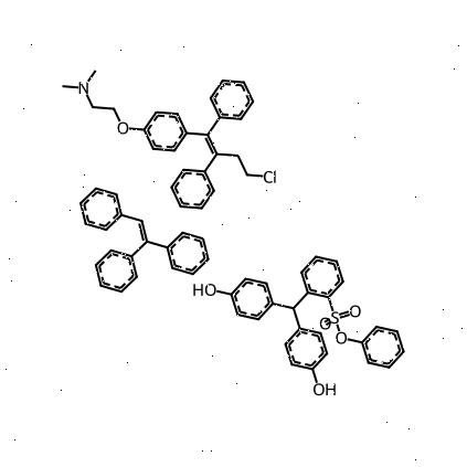 C(=C(c1ccccc1)c1ccccc1)c1ccccc1.CN(C)CCOc1ccc(/C(=C(/CCCl)c2ccccc2)c2ccccc2)cc1.O=S(=O)(Oc1ccccc1)c1ccccc1C(c1ccc(O)cc1)c1ccc(O)cc1